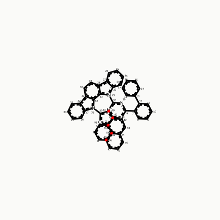 c1ccc(-c2nc(-c3ccccc3-c3ccccc3)nc(-n3c4ccccc4c4ccc5c6ccccc6n(-c6nc7ccc8ccccc8c7o6)c5c43)n2)cc1